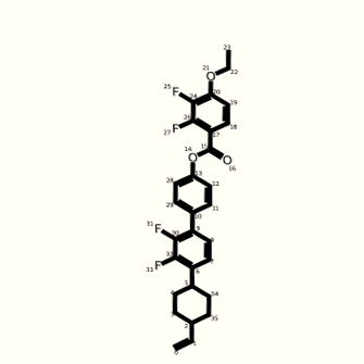 C=CC1CCC(c2ccc(-c3ccc(OC(=O)c4ccc(OCC)c(F)c4F)cc3)c(F)c2F)CC1